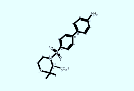 CC1(C)SCCN(S(=O)(=O)c2ccc(-c3ccc(N)cc3)cc2)[C@H]1C(=O)O